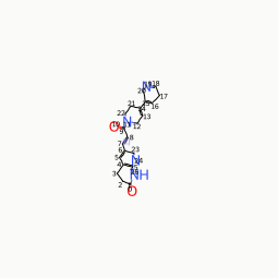 O=C1CCc2cc(/C=C/C(=O)N3CC=C(C4=CCC=NC4)CC3)cnc2N1